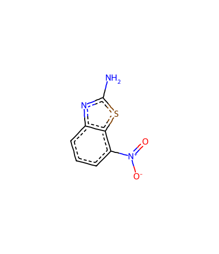 Nc1nc2cccc([N+](=O)[O-])c2s1